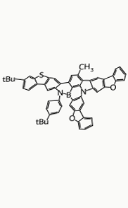 Cc1cc2c3c4c1c1cc5c(cc1n4-c1cc4c(cc1B3N(c1ccc(C(C)(C)C)cc1)c1cc3c(cc1-2)sc1cc(C(C)(C)C)ccc13)oc1ccccc14)oc1ccccc15